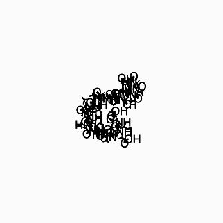 CC[C@H](C)[C@H](NC(=O)[C@H](CCC(=O)O)NC(=O)[C@@H](NC(=O)[C@@H]1CCCN1C(=O)[C@H](C)NC(=O)[C@H](CC(C)C)NC(=O)[C@H](CC(C)C)NC(=O)[C@H](C)NC(=O)[C@H](CC(C)C)NC(=O)[C@H](CC(C)C)NC(=O)[C@@H](NC(=O)[C@H](C)NC(=O)[C@@H]1CCCN1C(=O)[C@H](CC(C)C)NC(=O)[C@H](CC(C)C)NC(=O)[C@H](C)NC(=O)[C@@H](NC(=O)[C@H](C)NC(=O)[C@H](C)NC(C)=O)C(C)C)C(C)C)C(C)C)C(=O)N[C@H](C=O)CC(=O)O